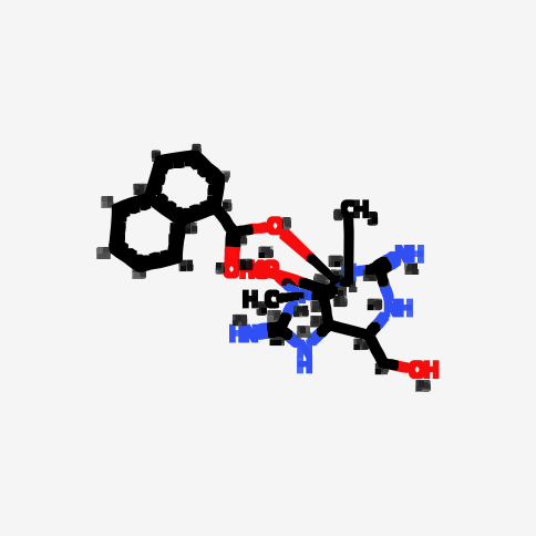 CC1[C@H](OC(=O)c2cccc3ccccc23)[C@](C)(O)C23C(NC(=N)N2O)C(CO)NC(=N)N13